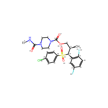 CCNC(=O)N1CCN(C(=O)OC[C@@H](C)[C@@H](c2cc(F)ccc2F)S(=O)(=O)c2ccc(Cl)cc2)CC1